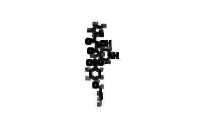 CC#CCOc1ccc(S(=O)(=O)CC2(C(=O)N(O)C(=O)c3cccs3)CCNCC2)cc1